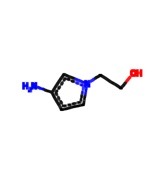 Nc1ccn(CCO)c1